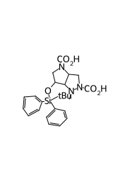 CN1C2C(O[Si](c3ccccc3)(c3ccccc3)C(C)(C)C)CN(C(=O)O)C2CN1C(=O)O